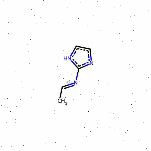 C/C=N/c1ncc[nH]1